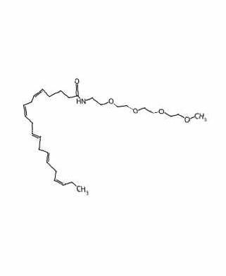 CC/C=C\CC=CCC=CC/C=C\C/C=C\CCCC(=O)NCCOCCOCCOCCOC